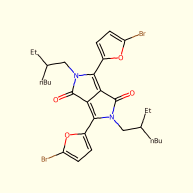 CCCCC(CC)CN1C(=O)C2=C(c3ccc(Br)o3)N(CC(CC)CCCC)C(=O)C2=C1c1ccc(Br)o1